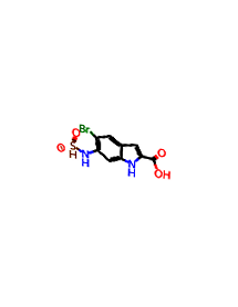 O=C(O)c1cc2cc(Br)c(N[SH](=O)=O)cc2[nH]1